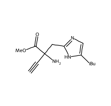 C#CC(N)(Cc1ncc(C(C)CC)[nH]1)C(=O)OC